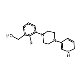 OCc1cccc(N2CCN(C3=CNCC=C3)CC2)c1F